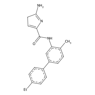 CCc1ccc(-c2ccc(C)c(NC(=O)C3=CCC(N)=N3)c2)cc1